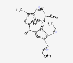 C/C=C\c1[nH]c(C(=O)c2cc(C)c(/C=N\C(C)N)[nH]2)cc1/C=C/O